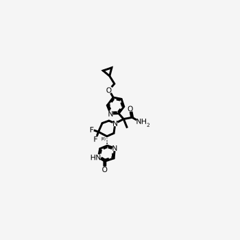 CC(C(N)=O)(c1ccc(OCC2CC2)cn1)N1CCC(F)(F)[C@@H](c2c[nH]c(=O)cn2)C1